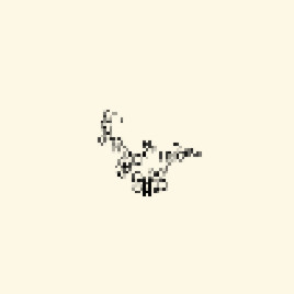 COc1cc(C(=O)N(C)c2ccc(C)cc2OCc2ccc(C(=O)N3CCN(C)CC3)cn2)ccc1NC(=O)c1ccccc1OCCCNC(=O)OC(C)(C)C